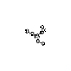 CC1(C)c2ccccc2-c2cc(-c3cc(-c4ccc(-c5cccnc5)cc4)nc(-c4cccc(-c5ccccc5)c4)n3)ccc21